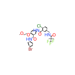 COCCOc1ccc(NC(=O)c2cc(CNC(=O)C(C)(C)C(F)(F)F)ccc2Cl)cc1C(=O)Nc1ccc(Br)cc1